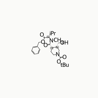 CC(C)[C@@H](C(=O)OCc1ccccc1)N(C)C(=O)[C@H]1CCN(C(=O)OC(C)(C)C)C[C@H]1CO